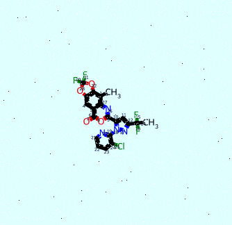 Cc1c2c(cc3c(=O)oc(-c4cc(C(C)(F)F)nn4-c4ncccc4Cl)nc13)OC(F)(F)O2